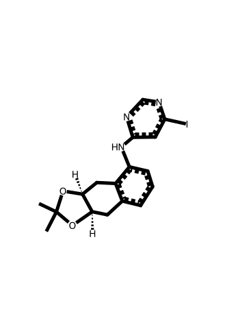 CC1(C)O[C@H]2Cc3c(cccc3Nc3cc(I)ncn3)C[C@H]2O1